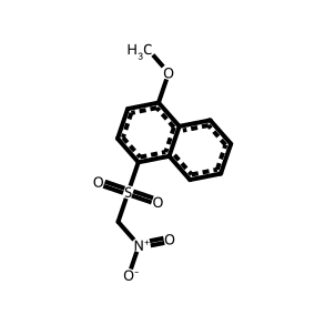 COc1ccc(S(=O)(=O)C[N+](=O)[O-])c2ccccc12